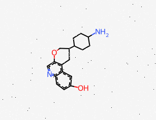 NC1CCC(C2COc3cnc4ccc(O)cc4c3C2)CC1